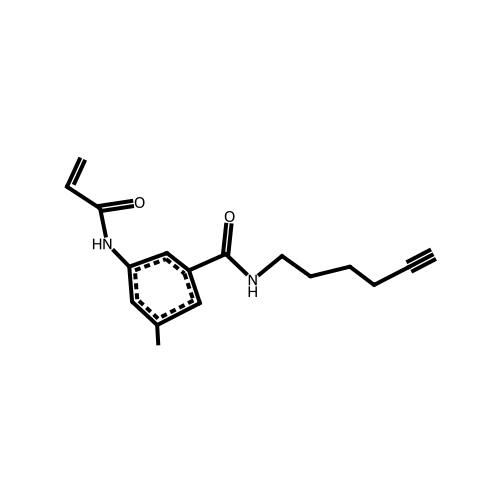 C#CCCCCNC(=O)c1cc(C)cc(NC(=O)C=C)c1